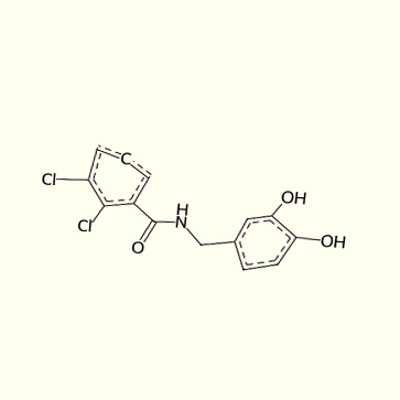 O=C(NCc1ccc(O)c(O)c1)c1cccc(Cl)c1Cl